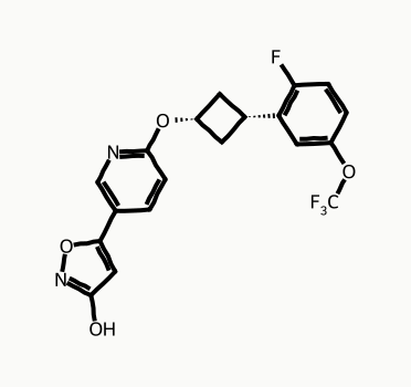 Oc1cc(-c2ccc(O[C@H]3C[C@@H](c4cc(OC(F)(F)F)ccc4F)C3)nc2)on1